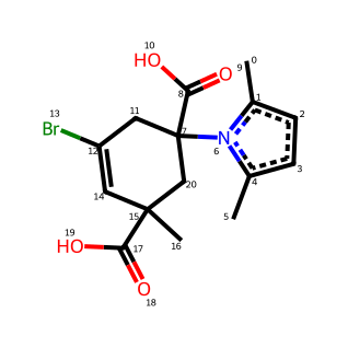 Cc1ccc(C)n1C1(C(=O)O)CC(Br)=CC(C)(C(=O)O)C1